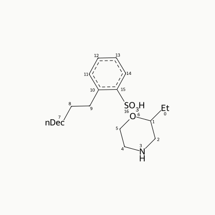 CCC1CNCCO1.CCCCCCCCCCCCc1ccccc1S(=O)(=O)O